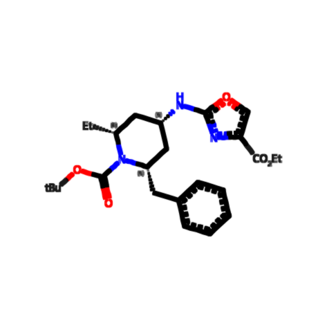 CCOC(=O)c1coc(N[C@H]2C[C@@H](CC)N(C(=O)OC(C)(C)C)[C@@H](Cc3ccccc3)C2)n1